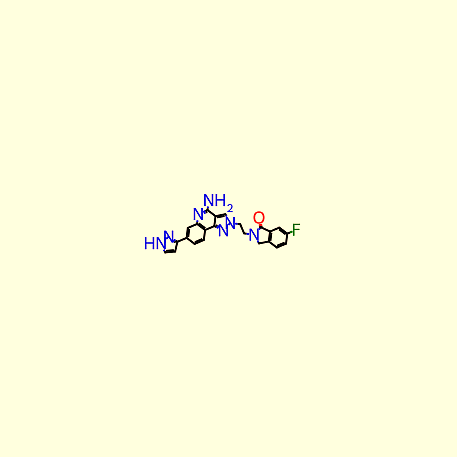 Nc1nc2cc(-c3cc[nH]n3)ccc2c2nn(CCN3Cc4ccc(F)cc4C3=O)cc12